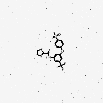 CS(=O)(=O)c1ccc(Oc2cc(NC(=O)C3=NCCS3)cc(C(F)(F)F)c2)cc1